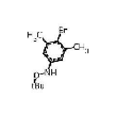 Cc1cc(NOC(C)(C)C)cc(C)c1Br